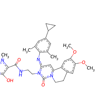 COc1cc2c(cc1OC)-c1c/c(=N\c3c(C)cc(C4CC4)cc3C)n(CCNC(=O)c3c(O)nnn3C)c(=O)n1CC2